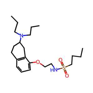 CCCCS(=O)(=O)NCCOc1cccc2c1CC(N(CCC)CCC)CC2